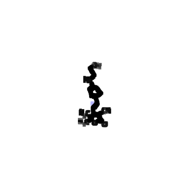 CC1(C)OC(=O)C(C#N)=C1/C=C/c1ccc(NCCO)cc1